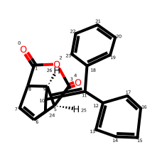 O=C1OC(=O)[C@H]2C3=CC1[C@@H]2C(=C(c1ccccc1)c1ccccc1)C3